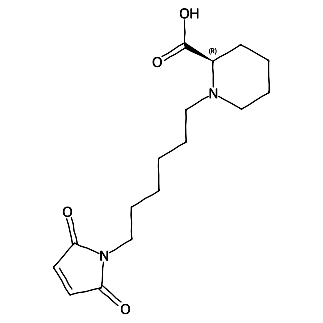 O=C(O)[C@H]1CCCCN1CCCCCCN1C(=O)C=CC1=O